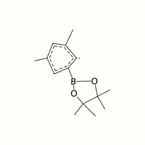 Cc1[c]c(B2OC(C)(C)C(C)(C)O2)cc(C)c1